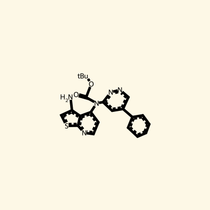 CC(C)(C)OC(=O)N(c1cc(-c2ccccc2)cnn1)c1ccnc2scc(N)c12